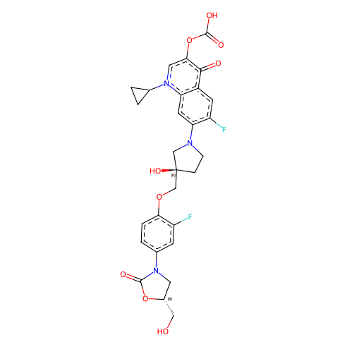 O=C(O)Oc1cn(C2CC2)c2cc(N3CC[C@](O)(COc4ccc(N5C[C@H](CO)OC5=O)cc4F)C3)c(F)cc2c1=O